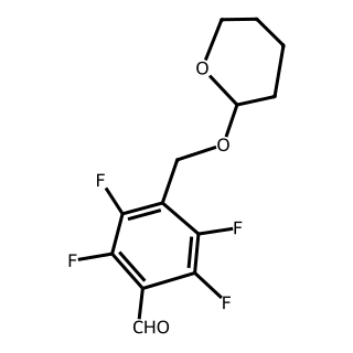 O=Cc1c(F)c(F)c(COC2CCCCO2)c(F)c1F